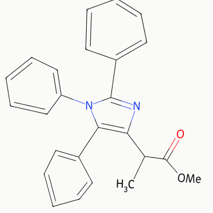 COC(=O)C(C)c1nc(-c2ccccc2)n(-c2ccccc2)c1-c1ccccc1